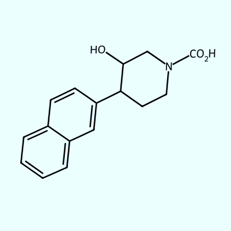 O=C(O)N1CCC(c2ccc3ccccc3c2)C(O)C1